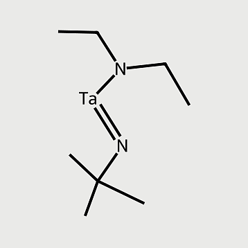 CC[N](CC)[Ta]=[N]C(C)(C)C